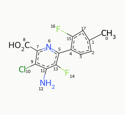 Cc1ccc(-c2nc(C(=O)O)c(Cl)c(N)c2F)c(F)c1